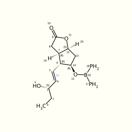 CC[C@H](O)/C=C/[C@@H]1[C@H]2CC(=O)O[C@H]2C[C@H]1OB(P)P